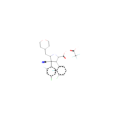 N#CC1(c2ccc(Cl)cc2F)C(CC2CCOCC2)NC(C(=O)O)C1c1cccc(Cl)c1F.O=C(O)C(F)(F)F